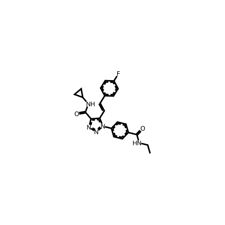 CCNC(=O)c1ccc(-n2nnc(C(=O)NC3CC3)c2/C=C/c2ccc(F)cc2)cc1